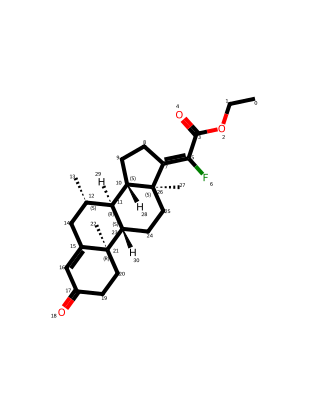 CCOC(=O)C(F)=C1CC[C@H]2[C@@H]3[C@@H](C)CC4=CC(=O)CC[C@]4(C)[C@H]3CC[C@]12C